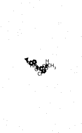 CNC(=O)OCCN(Cc1ncccc1Cl)C(=O)CNc1cccc2c1CCN(CC1CC1)C2